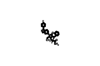 CCC1C(CC(F)(F)C(N)=O)C(Cc2ccccc2)C(=O)N1c1ccc2c(cnn2-c2ccc(F)cc2)c1